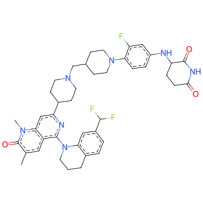 Cc1cc2c(N3CCCc4ccc(C(F)F)cc43)nc(C3CCN(CC4CCN(c5ccc(NC6CCC(=O)NC6=O)cc5F)CC4)CC3)cc2n(C)c1=O